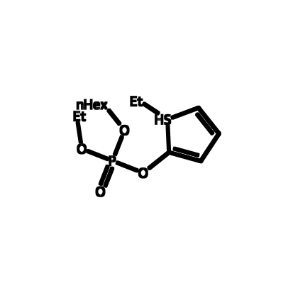 CCCCCCOP(=O)(OCC)OC1=CC=C[SH]1CC